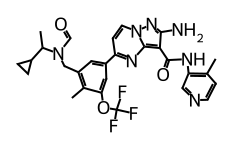 Cc1ccncc1NC(=O)c1c(N)nn2ccc(-c3cc(CN(C=O)C(C)C4CC4)c(C)c(OC(F)(F)F)c3)nc12